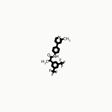 Cc1cc(-c2ccc(NC(=O)C(C)c3cc(C(F)(F)F)cc(C(F)(F)F)c3)cc2)ccn1